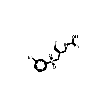 O=C(O)NCC(=CF)CS(=O)(=O)c1cccc(Br)c1